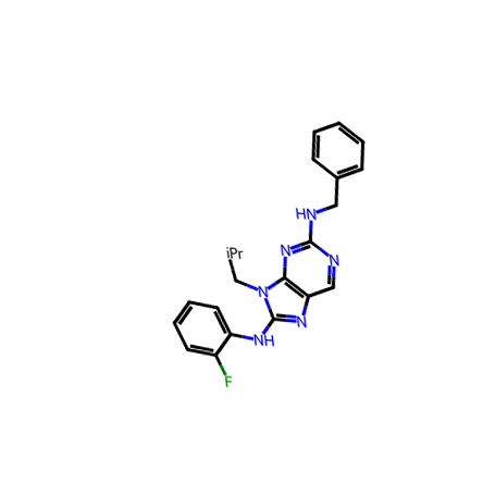 CC(C)Cn1c(Nc2ccccc2F)nc2cnc(NCc3ccccc3)nc21